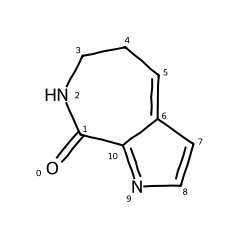 O=C1NCCC=C2C=CN=C12